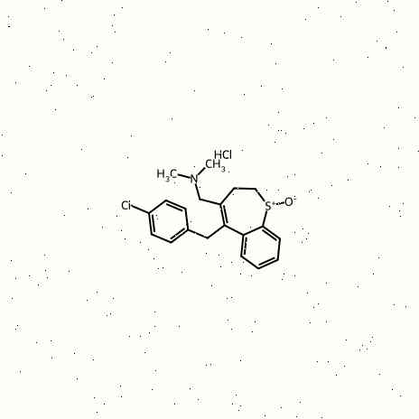 CN(C)CC1=C(Cc2ccc(Cl)cc2)c2ccccc2[S+]([O-])CC1.Cl